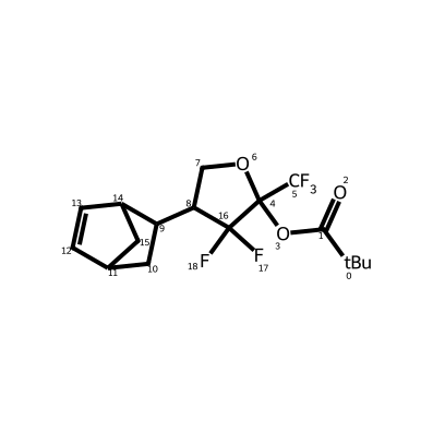 CC(C)(C)C(=O)OC1(C(F)(F)F)OCC(C2CC3C=CC2C3)C1(F)F